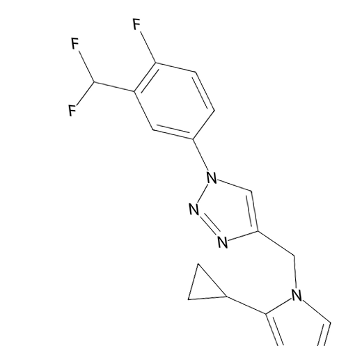 Fc1ccc(-n2cc(Cn3ccnc3C3CC3)nn2)cc1C(F)F